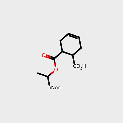 CCCCCCCCCC(C)OC(=O)C1CC=CCC1C(=O)O